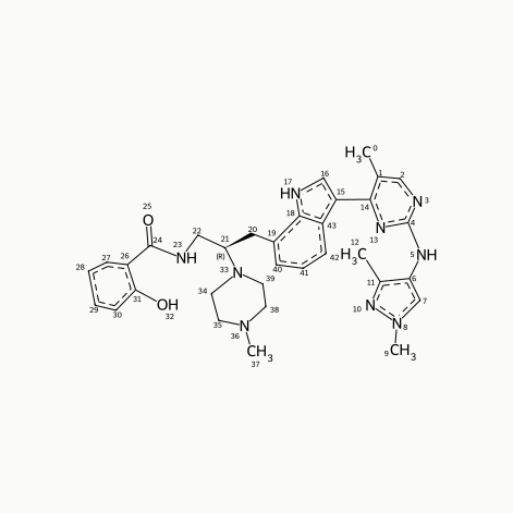 Cc1cnc(Nc2cn(C)nc2C)nc1-c1c[nH]c2c(C[C@H](CNC(=O)c3ccccc3O)N3CCN(C)CC3)cccc12